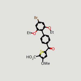 CCOc1cc(Br)cc(OCC)c1-c1ccc(C(=O)c2cc(OC)c(C(=O)O)s2)cc1